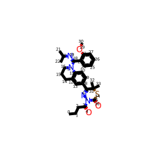 CCCC(=O)N1N=C(c2ccc3c(c2)CCCN3/C(=N\C(C)C)c2ccccc2OC)C(C)(C)SC1=O